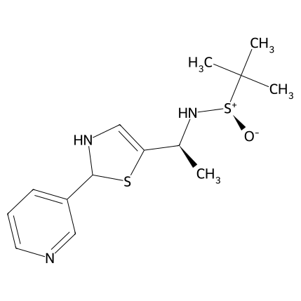 C[C@H](N[S@+]([O-])C(C)(C)C)C1=CNC(c2cccnc2)S1